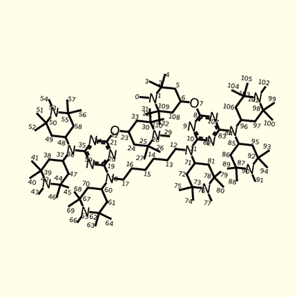 CN1C(C)(C)CC(Oc2nc(N(CCCCCCN(c3nc(OC4CC(C)(C)N(C)C(C)(C)C4)nc(N(C4CC(C)(C)N(C)C(C)(C)C4)C4CC(C)(C)N(C)C(C)(C)C4)n3)C3CC(C)(C)N(C)C(C)(C)C3)C3CC(C)(C)N(C)C(C)(C)C3)nc(N(C3CC(C)(C)N(C)C(C)(C)C3)C3CC(C)(C)N(C)C(C)(C)C3)n2)CC1(C)C